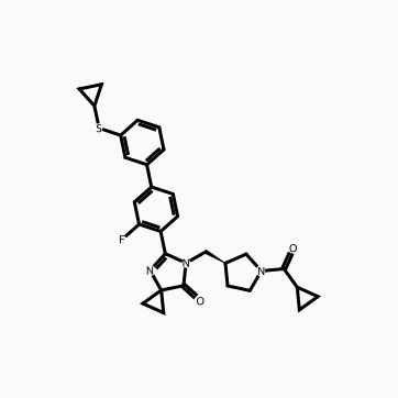 O=C(C1CC1)N1CC[C@@H](CN2C(=O)C3(CC3)N=C2c2ccc(-c3cccc(SC4CC4)c3)cc2F)C1